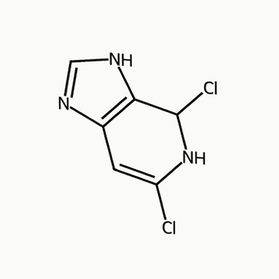 ClC1=Cc2nc[nH]c2C(Cl)N1